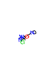 Cc1c(OCCCN2CCCCC2)cn2ncnc(Cl)c12